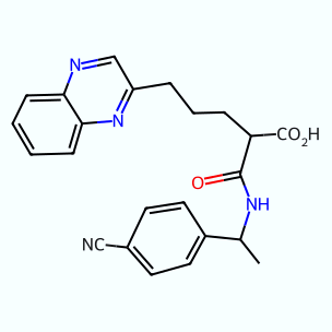 CC(NC(=O)C(CCCc1cnc2ccccc2n1)C(=O)O)c1ccc(C#N)cc1